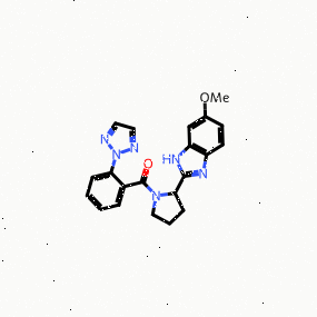 COc1ccc2nc(C3CCCN3C(=O)c3ccccc3-n3nccn3)[nH]c2c1